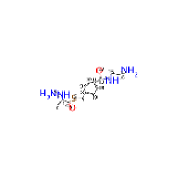 C[C@@H](NN)C(=O)SCc1ccc(C(=O)NCCN)cc1